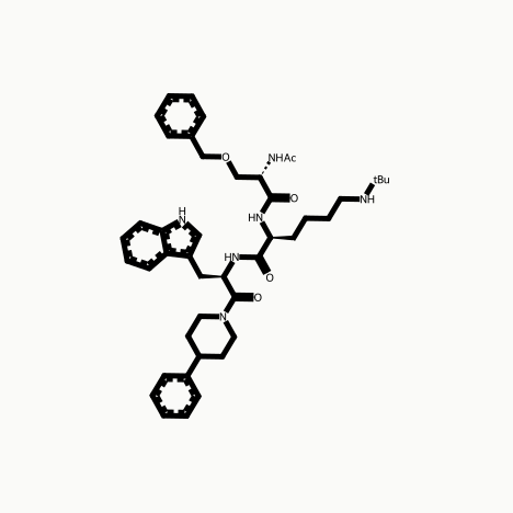 CC(=O)N[C@@H](COCc1ccccc1)C(=O)N[C@@H](CCCCNC(C)(C)C)C(=O)N[C@H](Cc1c[nH]c2ccccc12)C(=O)N1CCC(c2ccccc2)CC1